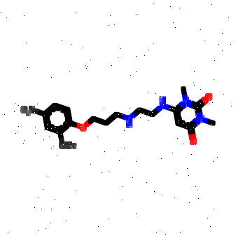 COc1cc([N+](=O)[O-])ccc1OCCCNCCNc1cc(=O)n(C)c(=O)n1C